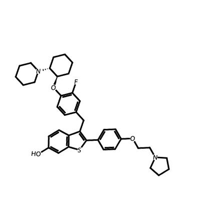 Oc1ccc2c(Cc3ccc(O[C@@H]4CCCC[C@H]4N4CCCCC4)c(F)c3)c(-c3ccc(OCCN4CCCC4)cc3)sc2c1